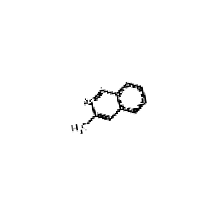 CC1=Cc2ccccc2[C]=[As]1